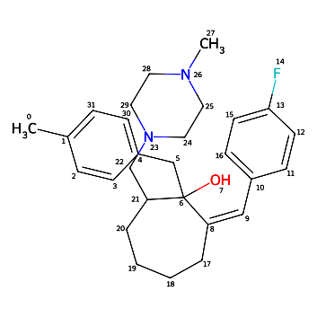 Cc1ccc(CC2(O)/C(=C\c3ccc(F)cc3)CCCCC2CN2CCN(C)CC2)cc1